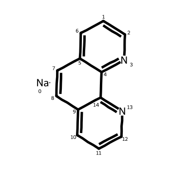 [Na].c1cnc2c(c1)ccc1cccnc12